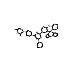 Cc1ccc(-c2ccc(-c3nc(-c4ccccc4)nc(-c4ccc5c(c4)C4(c6ccccc6S5)c5ccccc5-c5ccccc54)n3)cc2)c(C)n1